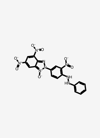 O=[N+]([O-])c1cc([N+](=O)[O-])c2nn(-c3ccc(NNc4ccccc4)c([N+](=O)[O-])c3)[n+]([O-])c2c1